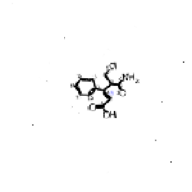 NC(=O)C(CCl)/C(=C/C(=O)O)c1ccccc1